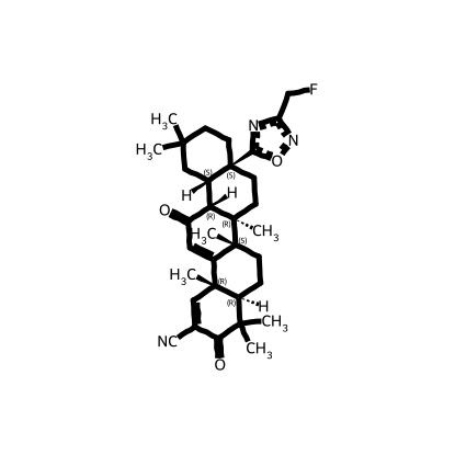 CC1(C)CC[C@]2(c3nc(CF)no3)CC[C@]3(C)[C@H](C(=O)C=C4[C@@]5(C)C=C(C#N)C(=O)C(C)(C)[C@@H]5CC[C@]43C)[C@@H]2C1